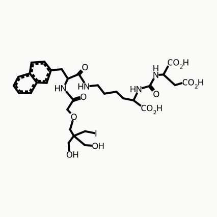 O=C(O)CC(NC(=O)NC(CCCCNC(=O)C(Cc1ccc2ccccc2c1)NC(=O)COCC(CO)(CO)CI)C(=O)O)C(=O)O